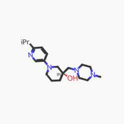 CC(C)c1ccc(N2CCC[C@@](O)(CN3CCN(C)CC3)C2)cn1